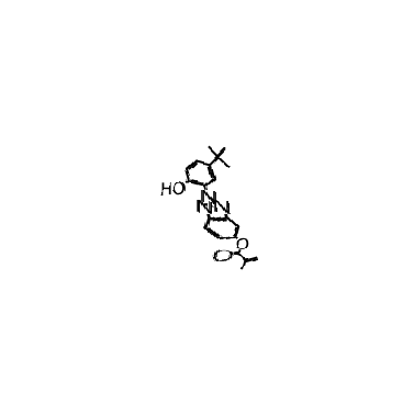 C=C(C)C(=O)Oc1ccc2c(c1)n1n(-c3cc(C(C)(C)C)ccc3O)n21